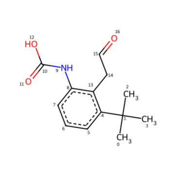 CC(C)(C)c1cccc(NC(=O)O)c1CC=O